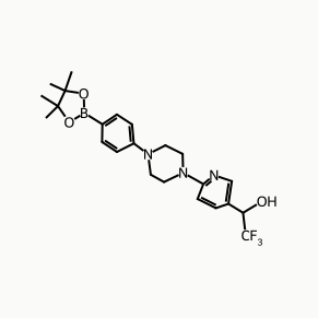 CC1(C)OB(c2ccc(N3CCN(c4ccc(C(O)C(F)(F)F)cn4)CC3)cc2)OC1(C)C